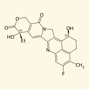 CC[C@@]1(O)C(=O)OCc2c1cc1n(c2=O)Cc2c-1nc1cc(F)c(C)c3c1c2[C@@H](O)CC3